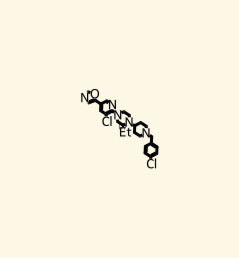 CC[C@H]1CN(c2ncc(-c3cnco3)cc2Cl)CCN1C1CCN(Cc2ccc(Cl)cc2)CC1